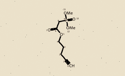 C#CCCCOC(=O)CP(=O)(OC)OC